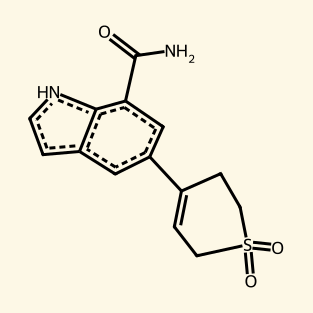 NC(=O)c1cc(C2=CCS(=O)(=O)CC2)cc2cc[nH]c12